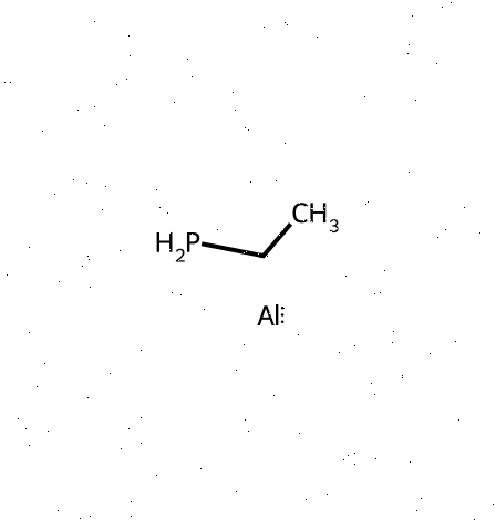 CCP.[Al]